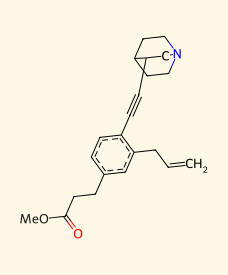 C=CCc1cc(CCC(=O)OC)ccc1C#CC1CN2CCC1CC2